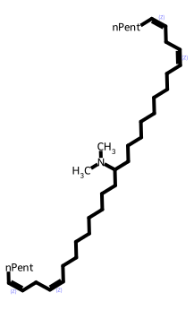 CCCCC/C=C\C/C=C\CCCCCCCCC(CCCCCCCC/C=C\C/C=C\CCCCC)N(C)C